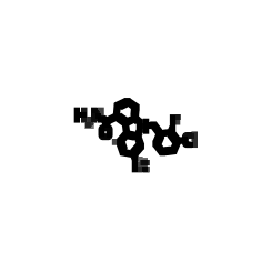 CCc1c[c]c2c3c(C(N)=O)cccc3n(Cc3cccc(Cl)c3F)c2c1